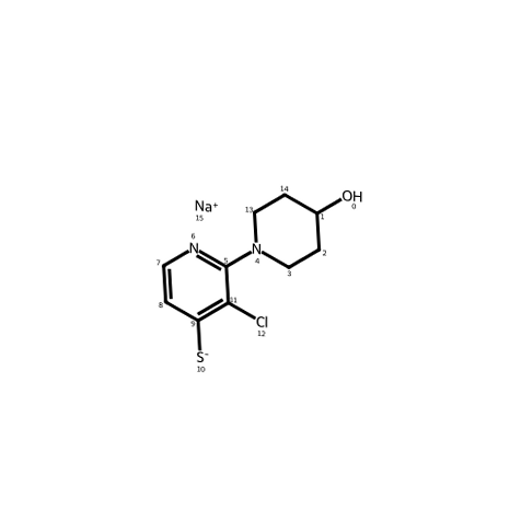 OC1CCN(c2nccc([S-])c2Cl)CC1.[Na+]